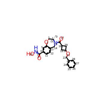 C[C@H]1COc2cc(C(=O)NO)ccc2CN1C(=O)C1CC(OCc2ccccc2)C1